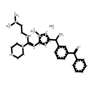 CC(c1cccc(C(=O)c2ccccc2)c1)c1nc(/N=C(\NCCN(C)C)N2CCOCC2)n(C)n1.Cl